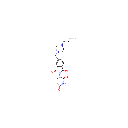 O=C1CCC(N2C(=O)c3ccc(CN4CCN(CCCBr)CC4)cc3C2=O)C(=O)N1